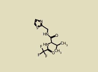 CC(C)[C@@H](NC(=O)C(F)(F)F)C(=O)NCc1nccs1